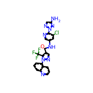 Nc1cnn(-c2ncc(NC(=O)c3cnn(-c4cccc5ncccc45)c3C(F)(F)F)cc2Cl)n1